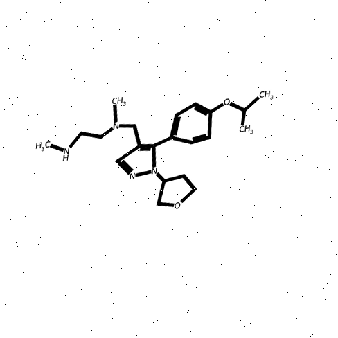 CNCCN(C)Cc1cnn(C2CCOC2)c1-c1ccc(OC(C)C)cc1